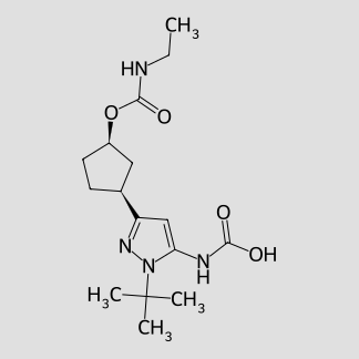 CCNC(=O)O[C@@H]1CC[C@H](c2cc(NC(=O)O)n(C(C)(C)C)n2)C1